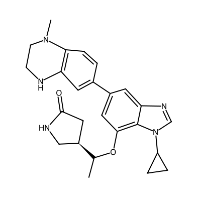 CC(Oc1cc(-c2ccc3c(c2)NCCN3C)cc2ncn(C3CC3)c12)[C@H]1CNC(=O)C1